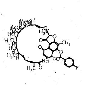 CO[C@H]1/C=C/O[C@@]2(C)Oc3c(C)c(OC(=O)c4ccc(F)cc4)c4c(c3C2=O)C(=O)C=C(NC(=O)/C(C)=C\C=C\[C@H](C)[C@H](O)[C@@H](C)[C@@H](O)[C@@H](C)[C@H](OC(C)=O)[C@@H]1C)C4=O